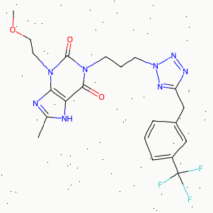 COCCn1c(=O)n(CCCn2nnc(Cc3cccc(C(F)(F)F)c3)n2)c(=O)c2[nH]c(C)nc21